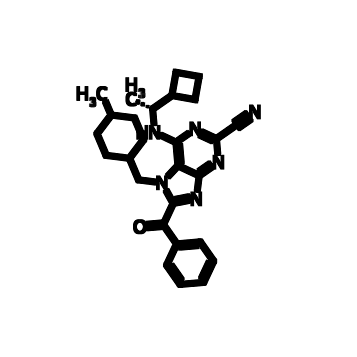 CC1CCC(Cn2c(C(=O)c3ccccc3)nc3nc(C#N)nc(N[C@H](C)C4CCC4)c32)CC1